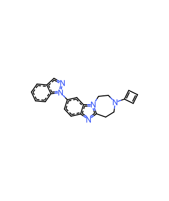 C1=CC(N2CCc3nc4ccc(-n5ncc6ccccc65)cc4n3CC2)=C1